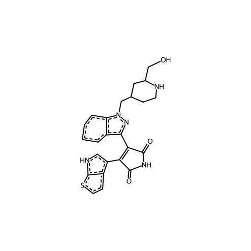 O=C1NC(=O)C(c2nn(CC3CCNC(CO)C3)c3ccccc23)=C1c1c[nH]c2sccc12